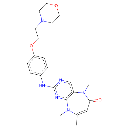 CC1=CC(=O)N(C)c2cnc(Nc3ccc(OCCN4CCOCC4)cc3)nc2N1C